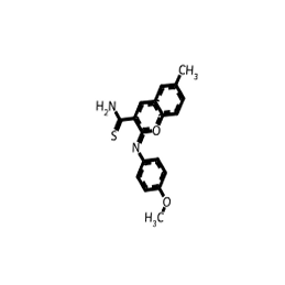 COc1ccc(/N=c2\oc3ccc(C)cc3cc2C(N)=S)cc1